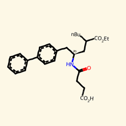 CCCCC(C[C@H](Cc1ccc(-c2ccccc2)cc1)NC(=O)CCC(=O)O)C(=O)OCC